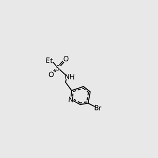 CCS(=O)(=O)NCc1ccc(Br)cn1